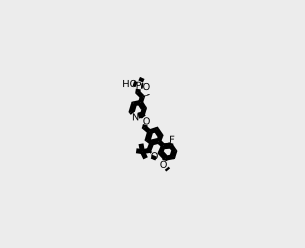 COc1ccc(F)c(-c2ccc(COc3cc([C@@H](C)CP(C)(=O)O)ccn3)cc2[C@@H](OC)C(C)(C)C)c1